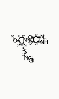 CCSSCc1c(C)c(OC)cc[n+]1C1Oc2cc3nc[nH]c3cc2O1.Cl.[Cl-]